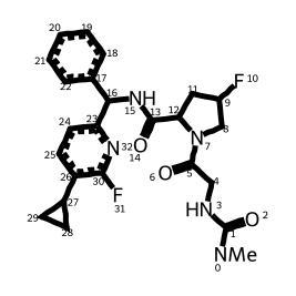 CNC(=O)NCC(=O)N1CC(F)CC1C(=O)NC(c1ccccc1)c1ccc(C2CC2)c(F)n1